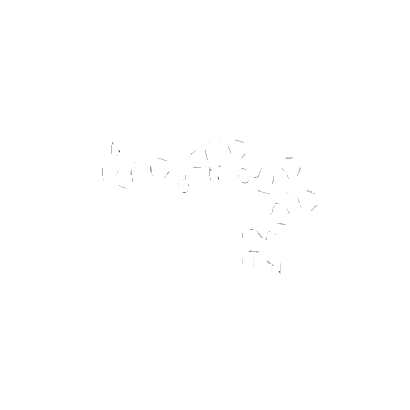 N#Cc1c(Cl)cccc1Oc1ccc(C(=O)c2ccc(Oc3cccc(Oc4ccc(C5(c6ccc(Oc7cccc(Cl)c7C#N)cc6)c6ccccc6-c6ccccc65)cc4)c3C#N)cc2)cc1